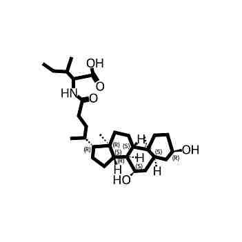 CCC(C)C(NC(=O)CCC(C)[C@H]1CC[C@H]2[C@@H]3[C@@H](O)C[C@@H]4C[C@H](O)CC[C@]4(C)[C@H]3CC[C@]12C)C(=O)O